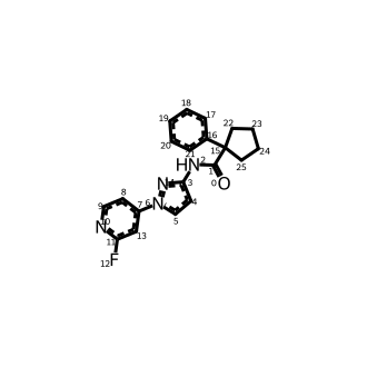 O=C(Nc1ccn(-c2ccnc(F)c2)n1)C1(c2ccccc2)CCCC1